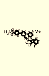 CN[C@H]1CC[C@H](N(Cc2cccc(-c3ccc(S(N)(=O)=O)cc3)c2)C(=O)c2sc3c(F)ccc(F)c3c2Cl)CC1